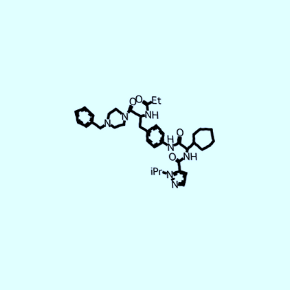 CCC(=O)NC(Cc1ccc(NC(=O)C(NC(=O)c2ccnn2C(C)C)C2CCCCCC2)cc1)C(=O)N1CCN(Cc2ccccc2)CC1